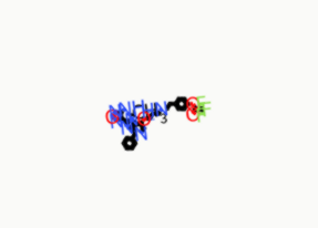 CCn1c(-c2nonc2N)nc2c(-c3ccccc3)ncc(OCCCNCCc3ccc(OC(=O)C(F)(F)F)cc3)c21